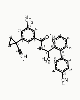 C#CC1(c2cc(C(=O)NC(C)c3nccnc3-c3ccc(C#N)cn3)cc(C(F)(F)F)c2)CC1